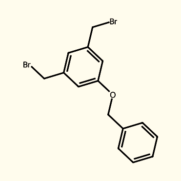 BrCc1cc(CBr)cc(OCc2ccccc2)c1